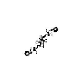 O=C(NCCCC1NC(=O)C(CCCNC(=O)OCc2ccccc2)NC1=O)OCc1ccccc1